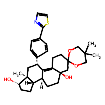 CC1(C)COC2(CCC3=C4[C@@H](CC[C@@]3(O)C2)[C@@H]2CC[C@H](O)[C@@]2(C)C[C@@H]4c2ccc(-c3nccs3)cc2)OC1